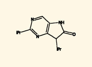 CC(C)c1ncc2c(n1)C(C(C)C)C(=O)N2